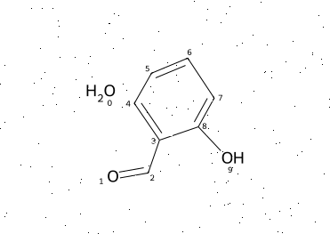 O.O=Cc1ccccc1O